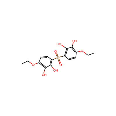 CCOc1ccc(S(=O)(=O)c2ccc(OCC)c(O)c2O)c(O)c1O